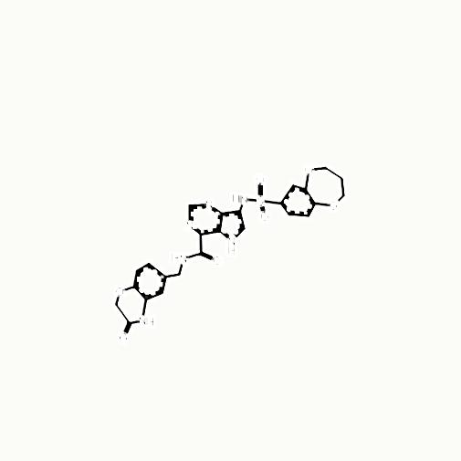 O=C1COc2ccc(CNC(=O)c3ncnc4c(NS(=O)(=O)c5ccc6c(c5)OCCCO6)c[nH]c34)cc2N1